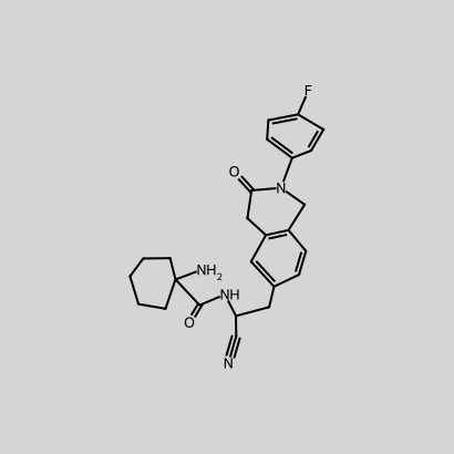 N#CC(Cc1ccc2c(c1)CC(=O)N(c1ccc(F)cc1)C2)NC(=O)C1(N)CCCCC1